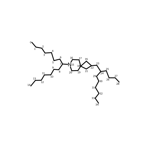 CCCCCCCC(CCCCCCC)N1CCC2(CC1)CC(CC(CCCC)CCCCCC)C2